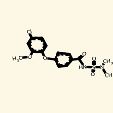 COc1cc(Cl)ccc1Oc1ccc(C(=O)NS(=O)(=O)N(C)C)cc1